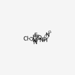 O=C(Nc1ccc2c(c1)CCN(C1CCC1)CC2)c1cnn(-c2ccc(Cl)cc2)c1C(F)(F)F